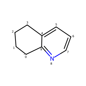 [CH]1CCCc2cccnc21